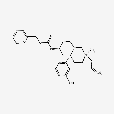 C=CC[N@@+]1(C)CC[C@@]2(c3cccc(O)c3)C[C@@H](NC(=O)OCc3ccccc3)CCC2C1